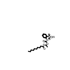 CCCCCCCCCC(=O)OC(C)OC(=O)Oc1ccccc1S(=O)(=O)O